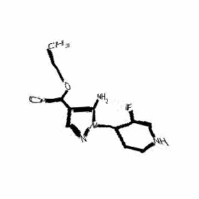 CCOC(=O)c1cnn(C2CCNCC2F)c1N